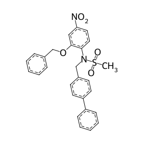 CS(=O)(=O)N(Cc1ccc(-c2ccccc2)cc1)c1ccc([N+](=O)[O-])cc1OCc1ccccc1